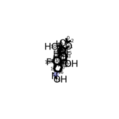 CC1(C)O[C@@H]2C[C@H]3[C@@H]4C[C@H](F)C5=C/C(=N/O)C=C[C@]5(C)[C@H]4[C@@H](O)C[C@]3(C)[C@]2(C(=O)CO)O1